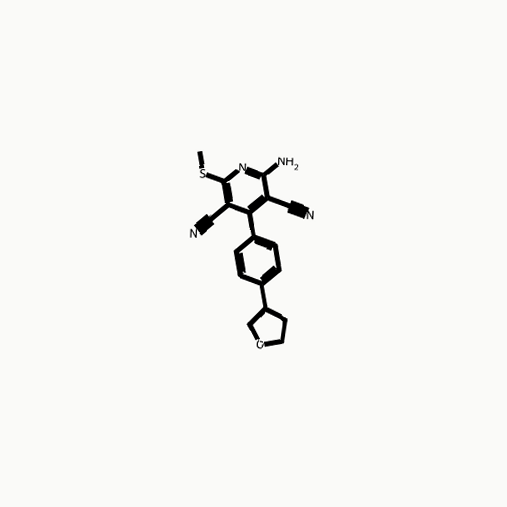 CSc1nc(N)c(C#N)c(-c2ccc(C3CCOC3)cc2)c1C#N